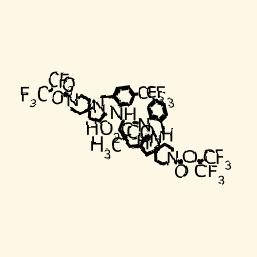 CC(CCNc1cc(C(F)(F)F)ccc1CN1CCCC12CCN(C(=O)OC(C(F)(F)F)C(F)(F)F)CC2)(CC1CN(Cc2ccc(C(F)(F)F)cc2NCC(=O)O)C2(CCN(C(=O)OC(C(F)(F)F)C(F)(F)F)CC2)C1)C(=O)O